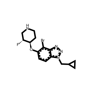 F[C@@H]1CNCC[C@H]1Oc1ccc2c(nnn2CC2CC2)c1Br